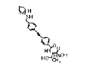 C[C@@H](O)[C@H](NC(=O)c1ccc(C#Cc2ccc(CN[C@@H]3CC4CC[C@@H]3C4)cc2)cc1)C(=O)NO